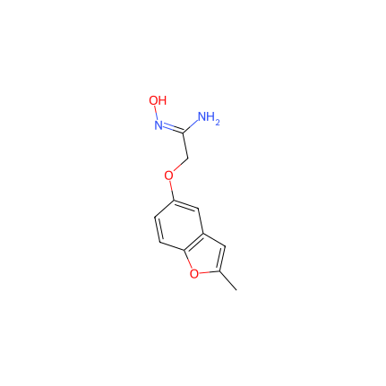 Cc1cc2cc(OCC(N)=NO)ccc2o1